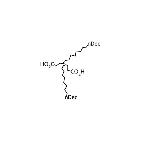 CCCCCCCCCCCCCCCCCCS(CCCCCCCCCCCCCCCCCC)(CCC(=O)O)CCC(=O)O